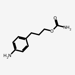 NC(=O)OCCCc1ccc(N)cc1